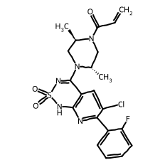 C=CC(=O)N1C[C@H](C)N(C2=NS(=O)(=O)Nc3nc(-c4ccccc4F)c(Cl)cc32)C[C@H]1C